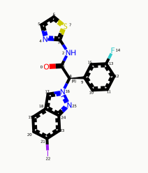 O=C(Nc1nccs1)[C@@H](c1cccc(F)c1)n1cc2ccc(I)cc2n1